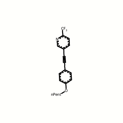 CCCCCOc1ccc(C#Cc2ccc(C(F)(F)F)nc2)cc1